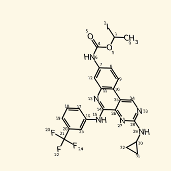 CC(I)OC(=O)Nc1ccc2c(c1)nc(Nc1cccc(C(F)(F)F)c1)c1nc(NC3CC3)ncc12